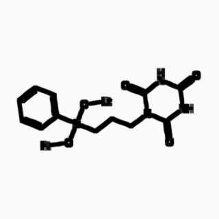 CCO[Si](CCCn1c(=O)[nH]c(=O)[nH]c1=O)(OCC)c1ccccc1